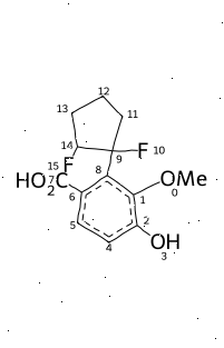 COc1c(O)ccc(C(=O)O)c1C1(F)CCCC1F